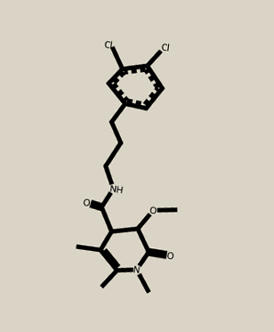 COC1C(=O)N(C)C(C)=C(C)C1C(=O)NCCCc1ccc(Cl)c(Cl)c1